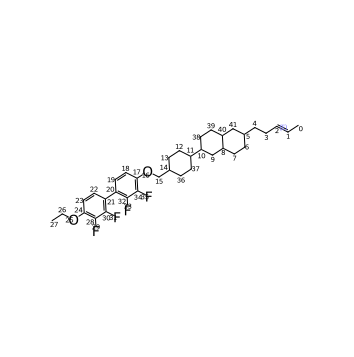 C/C=C/CCC1CCC2CC(C3CCC(COc4ccc(-c5ccc(OCC)c(F)c5F)c(F)c4F)CC3)CCC2C1